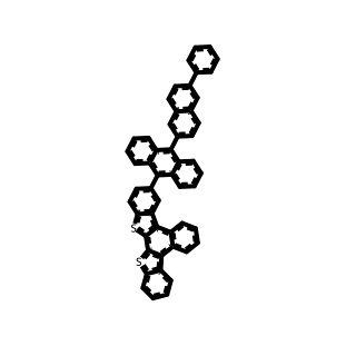 c1ccc(-c2ccc3cc(-c4c5ccccc5c(-c5ccc6sc7c8sc9ccccc9c8c8ccccc8c7c6c5)c5ccccc45)ccc3c2)cc1